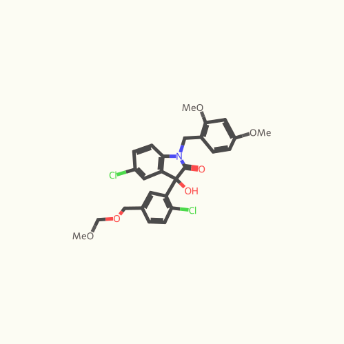 COCOCc1ccc(Cl)c(C2(O)C(=O)N(Cc3ccc(OC)cc3OC)c3ccc(Cl)cc32)c1